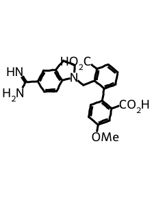 COc1ccc(-c2cccc(C(=O)O)c2CN2CCc3cc(C(=N)N)ccc32)c(C(=O)O)c1